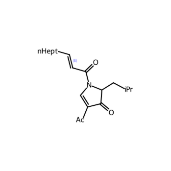 CCCCCCC/C=C/C(=O)N1C=C(C(C)=O)C(=O)C1CC(C)C